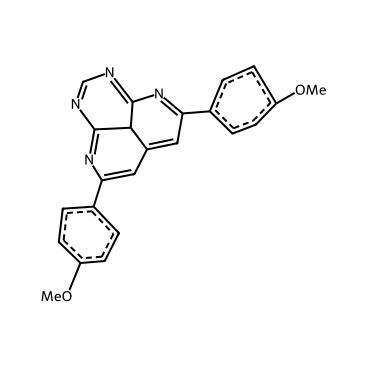 COc1ccc(C2=CC3=CC(c4ccc(OC)cc4)=NC4=NC=NC(=N2)C34)cc1